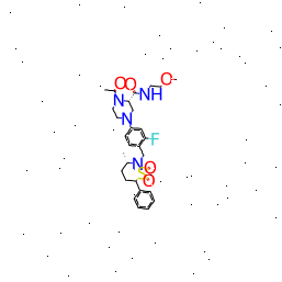 COCCNC(=O)[C@@H]1CN(c2ccc(CN3[C@@H](C)CCC(c4ccccc4)S3(=O)=O)c(F)c2)CCN1C(C)=O